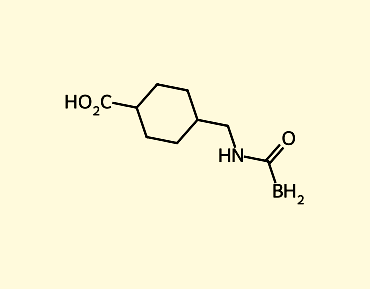 BC(=O)NCC1CCC(C(=O)O)CC1